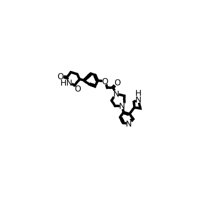 O=C1CCC(c2ccc(OCC(=O)N3CCN(c4ccncc4C4CNC4)CC3)cc2)C(=O)N1